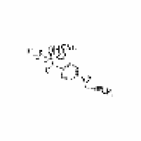 C#CCOc1ccc(C(=O)C(O)(OC)OC)cc1